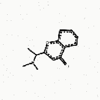 CC(c1cc(=O)c2ccccc2o1)N(C)C